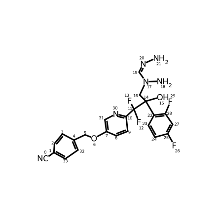 N#Cc1ccc(COc2ccc(C(F)(F)C(O)(CN(N)/C=N\N)c3ccc(F)cc3F)nc2)cc1